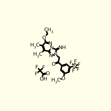 CCOc1nn2c(=N)n(CC(=O)c3cc(OC)cc(S(F)(F)(F)(F)F)c3)nc2c(C)c1C.O=C(O)C(F)(F)F